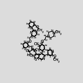 COc1cc(-c2ncc3snc(O[C@H](Cc4ccccc4OCc4ccnc(-c5ccccc5OC)n4)C(=O)O)c3c2-c2ccc(OCCN3CCN(C)CC3)c(Cl)c2C)ccn1